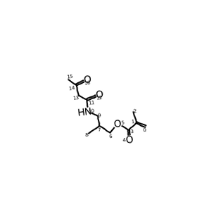 C=C(C)C(=O)OCC(C)CNC(=O)CC(C)=O